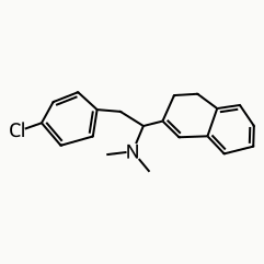 CN(C)C(Cc1ccc(Cl)cc1)C1=Cc2ccccc2CC1